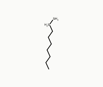 CCCCCCC[SiH2][SiH3]